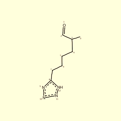 CC(C=O)CCCCc1nnn[nH]1